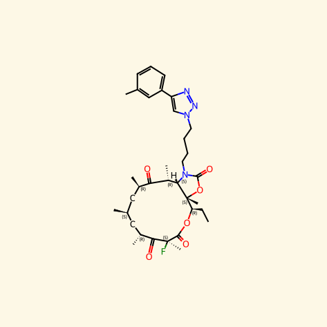 CC[C@H]1OC(=O)[C@@](C)(F)C(=O)[C@H](C)C[C@@H](C)C[C@@H](C)C(=O)[C@H](C)[C@@H]2N(CCCCn3cc(-c4cccc(C)c4)nn3)C(=O)O[C@@]21C